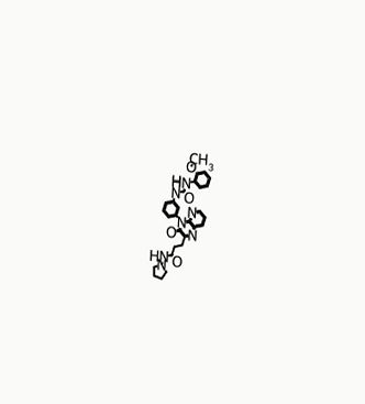 COc1ccccc1NC(=O)Nc1cccc(-n2c(=O)c(CCC(=O)NN3CCCC3)nc3cccnc32)c1